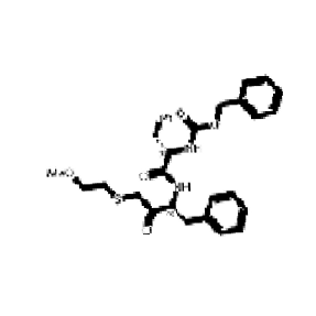 COCCSCC(=O)[C@H](Cc1ccccc1)NC(=O)[C@H](CC(C)C)NC(=O)OCc1ccccc1